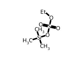 CCOS(=O)(=O)O[Si](C)(C)C